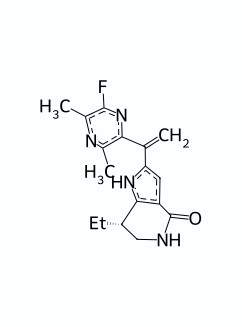 C=C(c1cc2c([nH]1)[C@@H](CC)CNC2=O)c1nc(F)c(C)nc1C